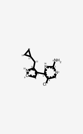 Nc1ncc(Cl)c(-c2conc2CC2CC2)n1